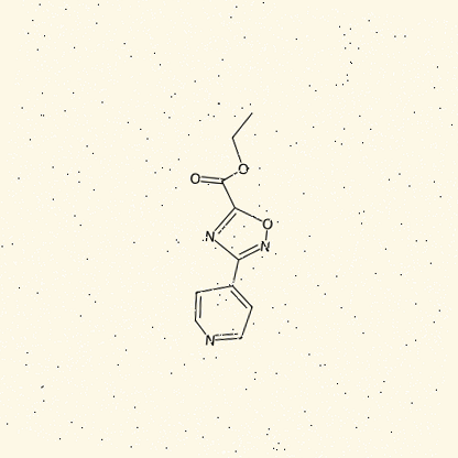 CCOC(=O)c1nc(-c2ccncc2)no1